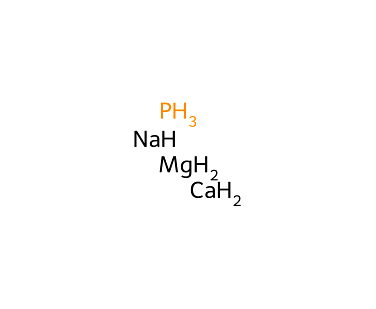 P.[CaH2].[MgH2].[NaH]